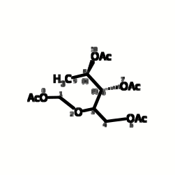 CC(=O)OCOC(COC(C)=O)[C@@H](OC(C)=O)[C@@H](C)OC(C)=O